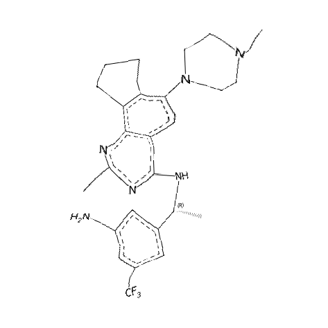 Cc1nc(N[C@H](C)c2cc(N)cc(C(F)(F)F)c2)c2cc(N3CCN(C)CC3)c3c(c2n1)CCC3